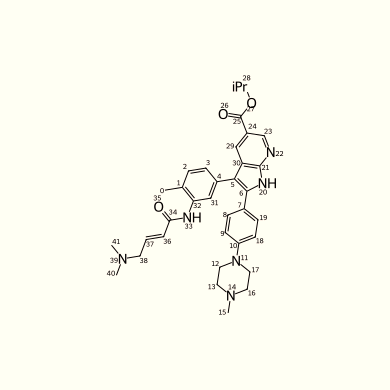 Cc1ccc(-c2c(-c3ccc(N4CCN(C)CC4)cc3)[nH]c3ncc(C(=O)OC(C)C)cc23)cc1NC(=O)/C=C/CN(C)C